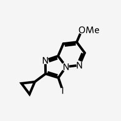 COc1cnn2c(I)c(C3CC3)nc2c1